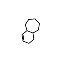 [CH]1CCCCC2C=CCCC12